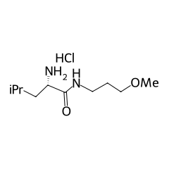 COCCCNC(=O)[C@@H](N)CC(C)C.Cl